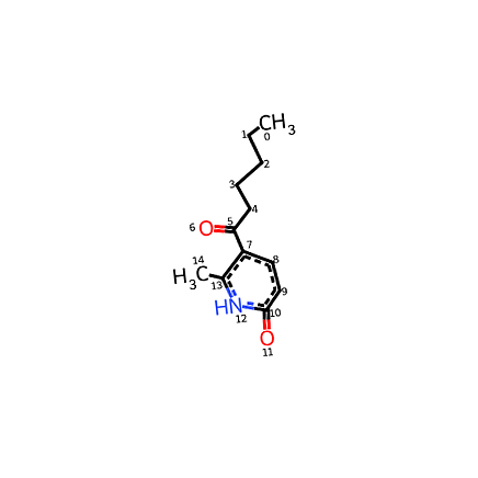 CCCCCC(=O)c1ccc(=O)[nH]c1C